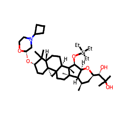 CC[Si](CC)(CC)O[C@H]1[C@H]2O[C@@H]([C@H](O)C(C)(C)O)C[C@@H](C)[C@@H]2[C@@]2(C)CCC34C[C@@]35CC[C@H](O[C@H]3CN(C6CCC6)CCO3)C(C)(C)[C@@H]5CC[C@H]4[C@]12C